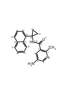 Cc1ncc(N)cc1C(=O)NC1(c2cccc3ccccc23)CC1